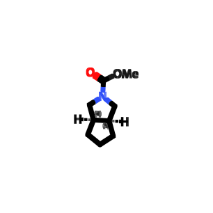 COC(=O)N1C[C@H]2CCC[C@H]2C1